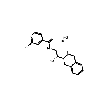 Cl.Cl.O=C(NC[C@@H](O)[C@@H]1Cc2ccccc2CN1)c1ccnc(C(F)(F)F)c1